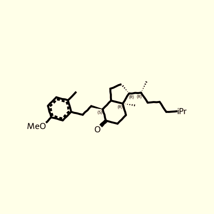 COc1ccc(C)c(CC[C@@H]2C(=O)CC[C@@]3(C)C2CC[C@@H]3[C@H](C)CCCC(C)C)c1